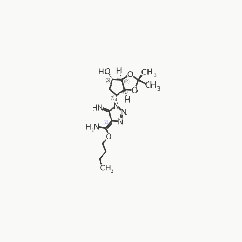 CCCCO/C(N)=C1\N=NN([C@@H]2C[C@H](O)[C@H]3OC(C)(C)O[C@H]32)C1=N